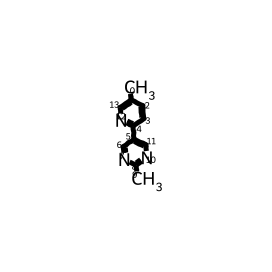 Cc1ccc(-c2cnc(C)nc2)nc1